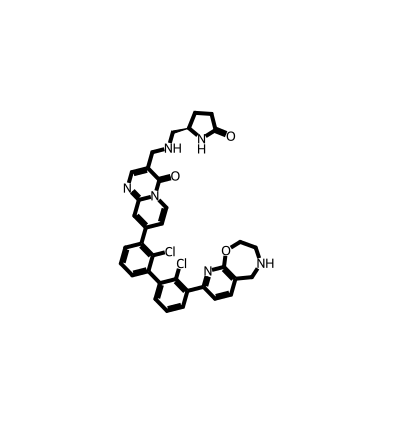 O=C1CC[C@H](CNCc2cnc3cc(-c4cccc(-c5cccc(-c6ccc7c(n6)OCCNC7)c5Cl)c4Cl)ccn3c2=O)N1